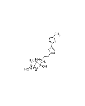 Cc1ccc(-c2ccc(CCCNC(C)(C(=O)NO)C(C)(C)O)s2)s1